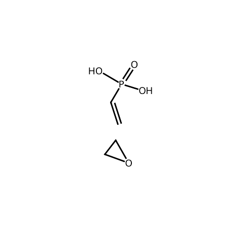 C1CO1.C=CP(=O)(O)O